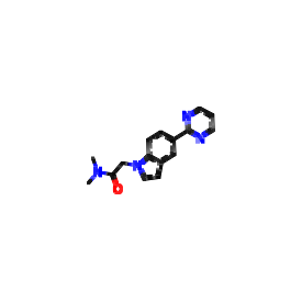 CN(C)C(=O)Cn1ccc2cc(-c3ncccn3)ccc21